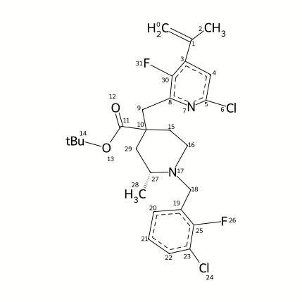 C=C(C)c1cc(Cl)nc(CC2(C(=O)OC(C)(C)C)CCN(Cc3cccc(Cl)c3F)[C@H](C)C2)c1F